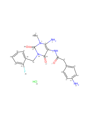 CCCCn1c(N)c(NC(=O)Cc2ccc(N)cc2)c(=O)n(Cc2ccccc2F)c1=O.Cl